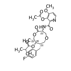 COc1ccnc(C(=O)N[C@H]2COC[C@H](Cc3ccc(F)cc3)[C@@H](OC(=O)C(C)C)[C@H](C)OC2=O)c1OC(C)=O